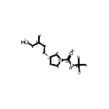 CC(CO)CC[C@H]1CCN(C(=O)OC(C)(C)C)C1